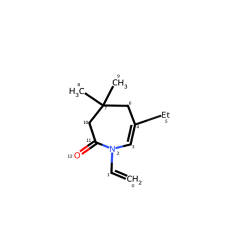 C=CN1C=C(CC)CC(C)(C)CC1=O